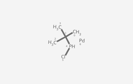 CC(C)(C)PCl.[Pd]